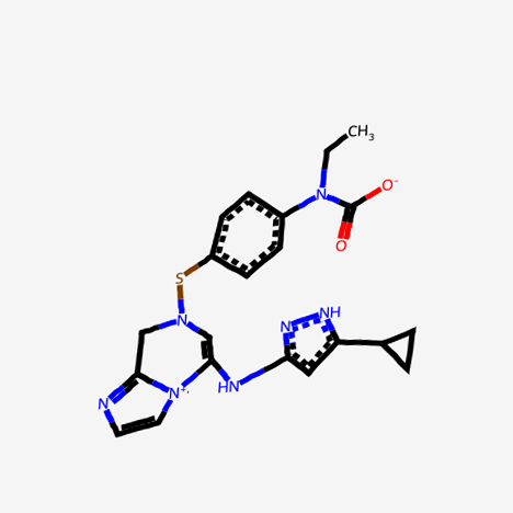 CCN(C(=O)[O-])c1ccc(SN2C=C(Nc3cc(C4CC4)[nH]n3)[N+]3C=CN=C3C2)cc1